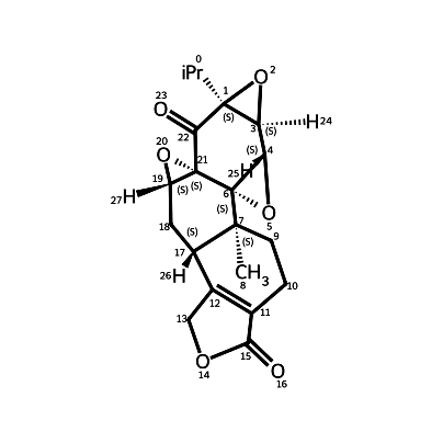 CC(C)[C@]12O[C@H]1[C@@H]1O[C@@]13[C@@]1(C)CCC4=C(COC4=O)[C@@H]1C[C@@H]1O[C@@]13C2=O